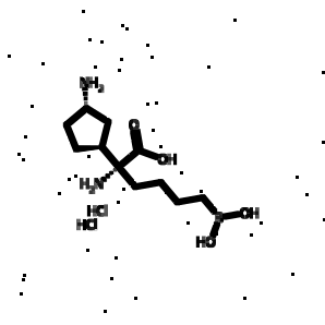 Cl.Cl.N[C@H]1CC[C@H]([C@](N)(CCCCB(O)O)C(=O)O)C1